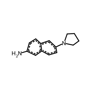 Nc1ccc2cc(N3CCCC3)ccc2c1